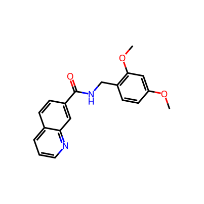 COc1ccc(CNC(=O)c2ccc3cccnc3c2)c(OC)c1